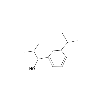 CC(C)c1cccc(C(O)C(C)C)c1